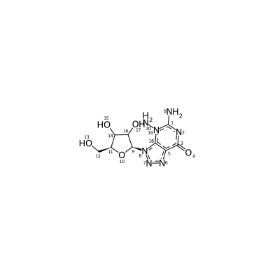 Nc1nc(=O)c2nnn([C@H]3O[C@@H](CO)C(O)C3O)c2n1N